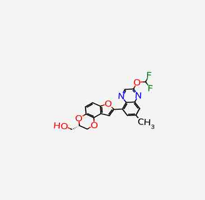 Cc1cc(-c2cc3c4c(ccc3o2)O[C@@H](CO)CO4)c2ncc(OC(F)F)nc2c1